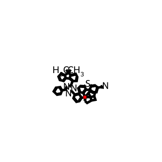 CC1(C)c2ccccc2-c2c(-c3nc(-c4ccccc4)nc(-c4cccc(C5(c6cccc7sc8cc(C#N)ccc8c67)C6CC7CC8CC5CC78C6)c4)n3)cccc21